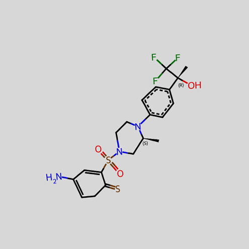 C[C@H]1CN(S(=O)(=O)C2=CC(N)=CCC2=S)CCN1c1ccc([C@@](C)(O)C(F)(F)F)cc1